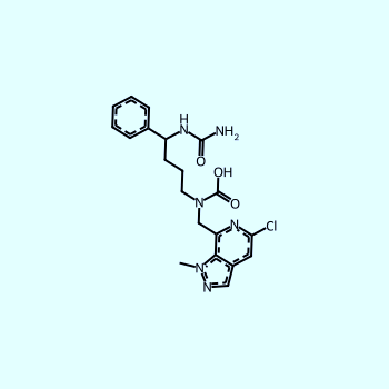 Cn1ncc2cc(Cl)nc(CN(CCCC(NC(N)=O)c3ccccc3)C(=O)O)c21